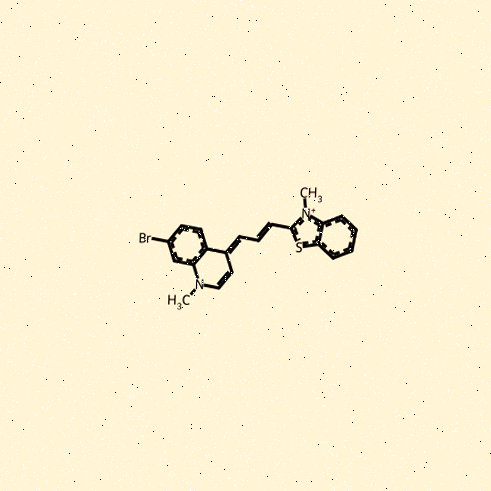 CN1C=C/C(=C\C=C\c2sc3ccccc3[n+]2C)c2ccc(Br)cc21